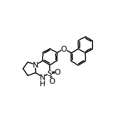 O=S1(=O)NC2CCCN2c2ccc(Oc3cccc4ccccc34)cc21